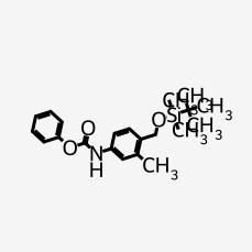 Cc1cc(NC(=O)Oc2ccccc2)ccc1CO[Si](C)(C)C(C)(C)C